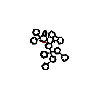 c1ccc(-c2cccc([Si](c3ccccc3)(c3cccc(-c4ccccc4)c3)c3ccc4c(c3)-n3c5ccccc5c5cccc(c53)C43c4ccccc4C(c4ccccc4)(c4ccccc4)c4ccccc43)c2)cc1